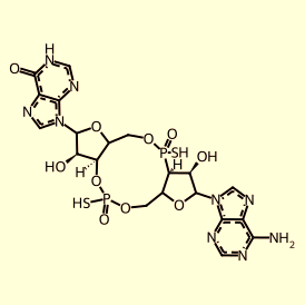 Nc1ncnc2c1ncn2C1OC2COP(=O)(S)O[C@@H]3C(COP(=O)(S)[C@H]2[C@H]1O)OC(n1cnc2c(=O)[nH]cnc21)[C@@H]3O